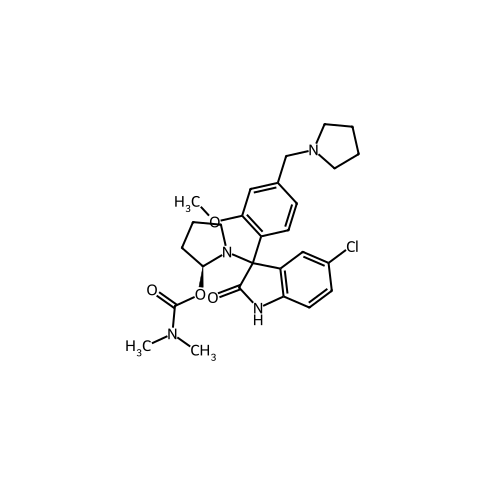 COc1cc(CN2CCCC2)ccc1C1(N2CCC[C@@H]2OC(=O)N(C)C)C(=O)Nc2ccc(Cl)cc21